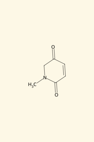 CN1CC(=O)C=CC1=O